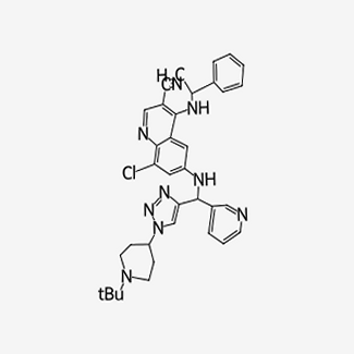 CC(Nc1c(C#N)cnc2c(Cl)cc(NC(c3cccnc3)c3cn(C4CCN(C(C)(C)C)CC4)nn3)cc12)c1ccccc1